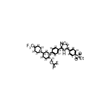 CCS(=O)(=O)c1ccc([C@H](CC#N)NC(=O)c2ccc(N3CC(N4CCC(C(F)(F)F)CC4)CC[C@H]3COC(F)F)cc2)cc1